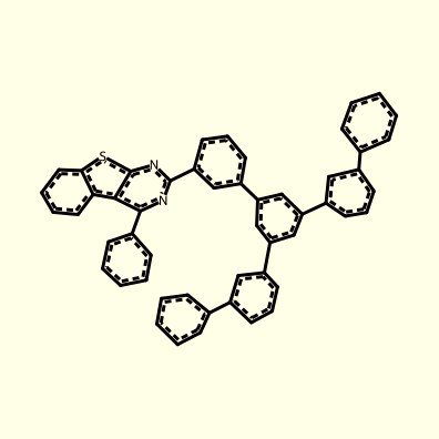 c1ccc(-c2cccc(-c3cc(-c4cccc(-c5ccccc5)c4)cc(-c4cccc(-c5nc(-c6ccccc6)c6c(n5)sc5ccccc56)c4)c3)c2)cc1